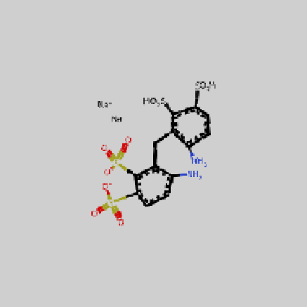 Nc1ccc(S(=O)(=O)[O-])c(S(=O)(=O)[O-])c1Cc1c(N)ccc(S(=O)(=O)O)c1S(=O)(=O)O.[Na+].[Na+]